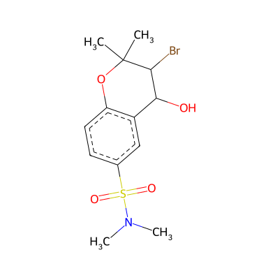 CN(C)S(=O)(=O)c1ccc2c(c1)C(O)C(Br)C(C)(C)O2